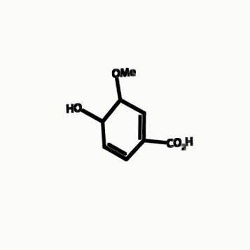 COC1C=C(C(=O)O)C=CC1O